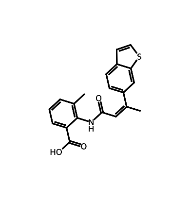 C/C(=C/C(=O)Nc1c(C)cccc1C(=O)O)c1ccc2ccsc2c1